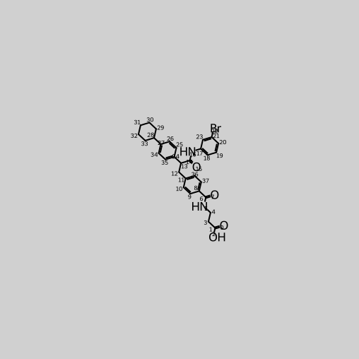 O=C(O)CCNC(=O)c1ccc(CC(C(=O)Nc2cccc(Br)c2)c2ccc(C3CCCCC3)cc2)cc1